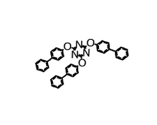 c1ccc(-c2ccc(Oc3nc(Oc4ccc(-c5ccccc5)cc4)nc(Oc4ccc(-c5ccccc5)cc4)n3)cc2)cc1